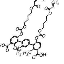 C=CC(=O)OCCCCOC(=O)Oc1ccc(C(=O)O)c(C)c1-c1ccc(-c2c(OC(=O)OCCCCOC(=O)C=C)ccc(C(=O)O)c2C)c(C)c1